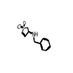 O=S1(=O)C=CC(NCc2ccccc2)C1